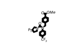 COC(=O)c1ccc(CN(C(=O)N2CC[C@H](F)C2)c2ccc(C(F)(F)F)cc2)cc1